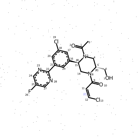 CC(=O)N1C[C@H](CO)N(C(=O)/C=C\Cl)C[C@H]1c1cc(Cl)cc(-c2ncc(F)cn2)c1